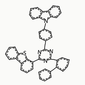 c1ccc(-c2ccccc2-c2nc(-c3ccc(-n4c5ccccc5c5ccccc54)cc3)nc(-c3cccc4c3sc3ccccc34)n2)cc1